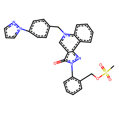 CS(=O)(=O)OCc1ccccc1-n1nc2c3ccccc3n(Cc3ccc(-n4cccn4)cc3)cc-2c1=O